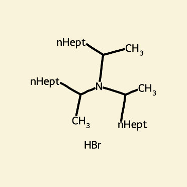 Br.CCCCCCCC(C)N(C(C)CCCCCCC)C(C)CCCCCCC